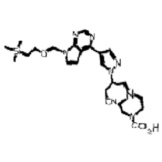 C[Si](C)(C)CCOCn1ccc2c(-c3cnn(C(CC#N)CN4CCN(C(=O)O)CC4)c3)ncnc21